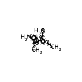 CCCCOc1ccc(C(=O)Nc2ccc(N)cc2OCCCC)c(OCCCC)c1